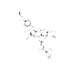 C=CCOc1ccc(C[C@H](NC(=O)OC)C(=O)N[C@@H](CCCCNC(=O)OC(C)(C)C)C(=O)N[C@@H](CC=C)C(=O)O)cc1